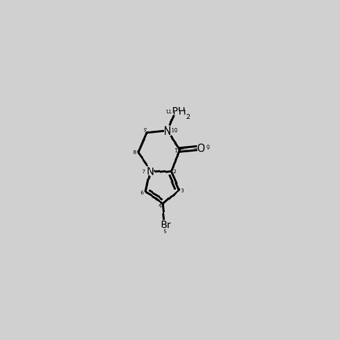 O=C1c2cc(Br)cn2CCN1P